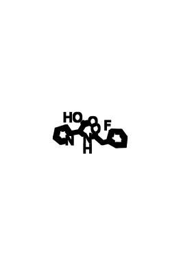 O=C(Cc1ccccc1F)NC(C(=O)O)c1ccccn1